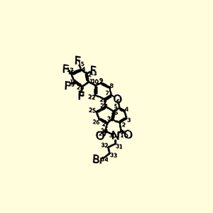 O=c1c2ccc3oc4ccc(-c5c(F)c(F)c(F)c(F)c5F)cc4c4ccc(c(=O)n1CCCBr)c2c34